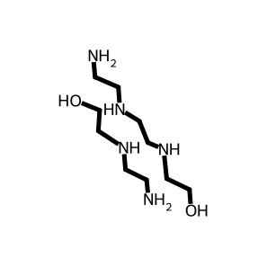 NCCNCCNCCO.NCCNCCO